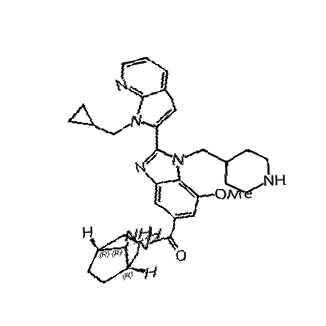 COc1cc(C(=O)N2C[C@H]3CC[C@@H]2[C@@H]3N)cc2nc(-c3cc4cccnc4n3CC3CC3)n(CC3CCNCC3)c12